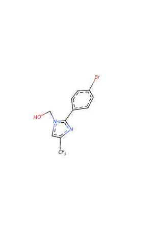 OCn1cc(C(F)(F)F)nc1-c1ccc(Br)cc1